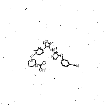 Cc1nc(-c2nnn(C)c2CNc2nccc(Oc3cccc(C#N)c3)n2)ccc1O[C@H]1CCC[C@H](C(=O)O)C1